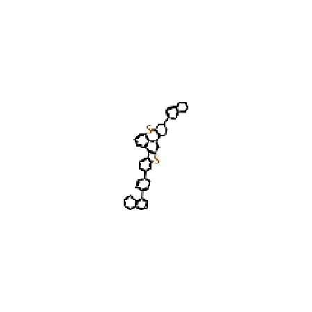 C1=C(c2ccc3ccccc3c2)CCC2=C1Sc1cccc3c1c2cc1sc2cc(-c4ccc(-c5cccc6ccccc56)cc4)ccc2c13